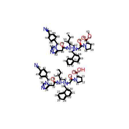 CC[C@H](C)[C@@H](CN(CC(=O)N1CCC[C@H]1C(=O)O)Cc1cccc2ccccc12)NC(=O)Cc1cncn1Cc1ccc(C#N)cc1.CC[C@H](C)[C@@H](CN(CC(=O)N1CCC[C@H]1C(=O)OC)Cc1cccc2ccccc12)NC(=O)Cc1cncn1Cc1ccc(C#N)cc1